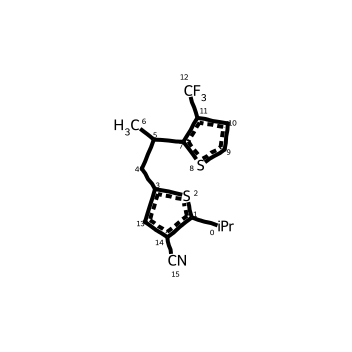 CC(C)c1sc(CC(C)c2sccc2C(F)(F)F)cc1C#N